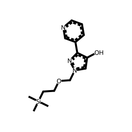 C[Si](C)(C)CCOCn1cc(O)c(-c2cccnc2)n1